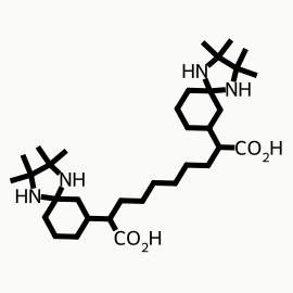 CC1(C)NC2(CCCC(C(CCCCCCC(C(=O)O)C3CCCC4(C3)NC(C)(C)C(C)(C)N4)C(=O)O)C2)NC1(C)C